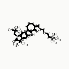 CC(C)(CN1C(=O)C(C)(C)c2cc3[nH]c4c(c3cc21)CCCc1cn(COCC[Si](C)(C)C)nc1-4)N=O